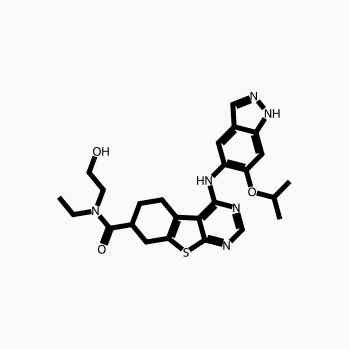 CCN(CCO)C(=O)C1CCc2c(sc3ncnc(Nc4cc5cn[nH]c5cc4OC(C)C)c23)C1